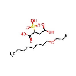 CCCCCCCCOC[CH2][K].O=C(O)CC(C(=O)O)S(=O)(=O)O